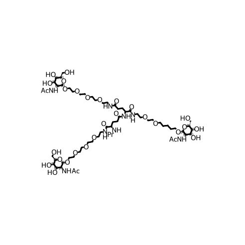 CC(=O)N[C@H]1[C@H](OCCCCCOCCOCCNC(=O)C(CCC(=O)NCCOCCOCCOCCO[C@@H]2O[C@H](CO)[C@H](O)[C@H](O)[C@H]2NC(C)=O)NC(=O)CCC(NC(C)C)C(=O)NCCOCCOCCOCCO[C@@H]2O[C@H](CO)[C@H](O)[C@H](O)[C@H]2NC(C)=O)O[C@H](CO)[C@H](O)[C@@H]1O